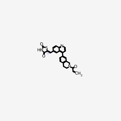 C=CC(=O)N1CCc2ccc(-c3ccnc4ccc(/C=C5\SC(=O)NC5=O)cc34)cc2C1